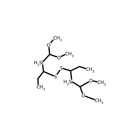 CCC([SiH2]C(OC)OC)SSC(CC)[SiH2]C(OC)OC